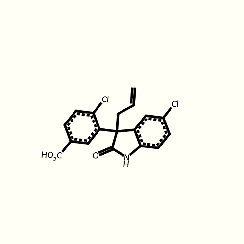 C=CCC1(c2cc(C(=O)O)ccc2Cl)C(=O)Nc2ccc(Cl)cc21